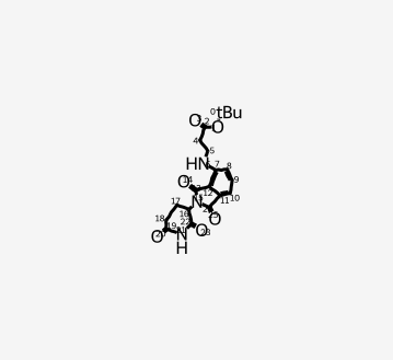 CC(C)(C)OC(=O)CCNc1cccc2c1C(=O)N(C1CCC(=O)NC1=O)C2=O